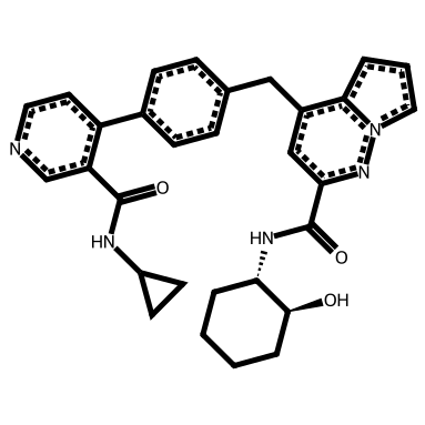 O=C(N[C@H]1CCCC[C@@H]1O)c1cc(Cc2ccc(-c3ccncc3C(=O)NC3CC3)cc2)c2cccn2n1